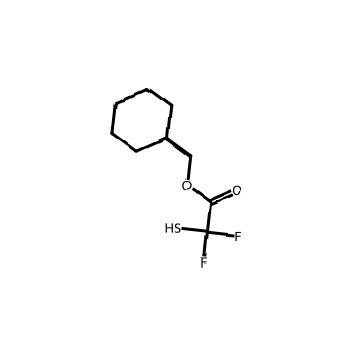 O=C(OCC1CCCCC1)C(F)(F)S